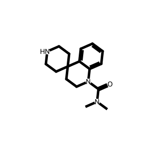 CN(C)C(=O)N1CCC2(CCNCC2)c2ccccc21